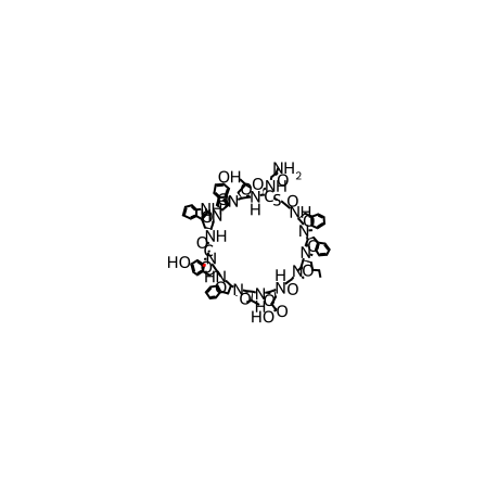 CCCC[C@H]1C(=O)N(C)CC(=O)N[C@@H](CCC(=O)O)C(=O)N[C@@H](C(C)C)C(=O)N(C)C(Cc2ccccc2)C(=O)N[C@@H](Cc2ccc(O)cc2)C(=O)N(C)CC(=O)N[C@@H](Cc2c[nH]c3ccccc23)C(=O)N[C@@H](Cc2ccc(O)cc2)C(=O)N[C@@H](CC(C)C)C(=O)N[C@H](C(=O)NCC(N)=O)CSCC(=O)N[C@@H](Cc2ccccc2)C(=O)N(C)[C@@H](Cc2ccccc2)C(=O)N1C